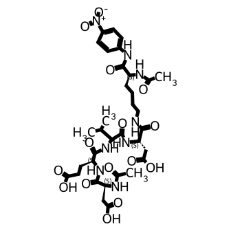 CC(=O)N[C@@H](CCCCNC(=O)[C@H](CC(=O)O)NC(=O)C(NC(=O)[C@H](CCC(=O)O)NC(=O)[C@H](CC(=O)O)NC(C)=O)C(C)C)C(=O)Nc1ccc([N+](=O)[O-])cc1